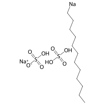 CCCCCCCCCCC[CH2][Na].O=S(=O)(O)O.O=S(=O)([O-])O.[Na+]